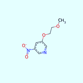 COCCOc1cncc([N+](=O)[O-])c1